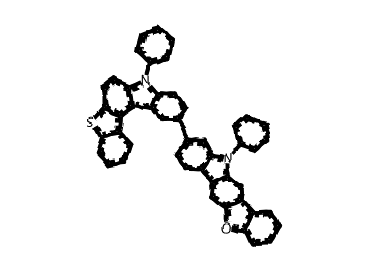 c1ccc(-n2c3cc(-c4ccc5c(c4)c4c6c(ccc4n5-c4ccccc4)sc4ccccc46)ccc3c3cc4oc5ccccc5c4cc32)cc1